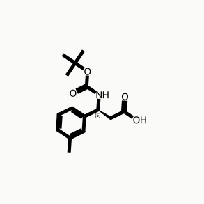 Cc1cccc([C@H](CC(=O)O)NC(=O)OC(C)(C)C)c1